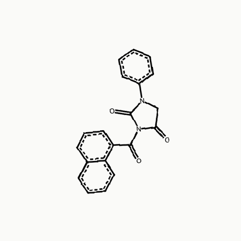 O=C1CN(c2ccccc2)C(=O)N1C(=O)c1cccc2ccccc12